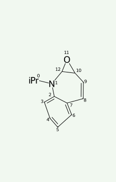 CC(C)N1c2ccccc2C=CC2OC21